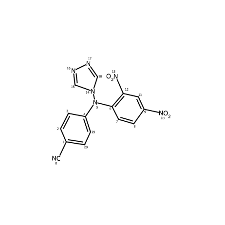 N#Cc1ccc(N(c2ccc([N+](=O)[O-])cc2[N+](=O)[O-])n2cnnc2)cc1